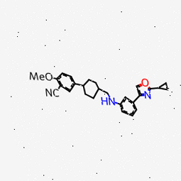 COc1ccc(C2CCC(CNc3cccc(-c4coc(C5CC5)n4)c3)CC2)cc1C#N